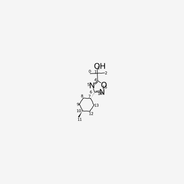 CC(C)(O)c1nc([C@H]2CC[C@H](C)CC2)no1